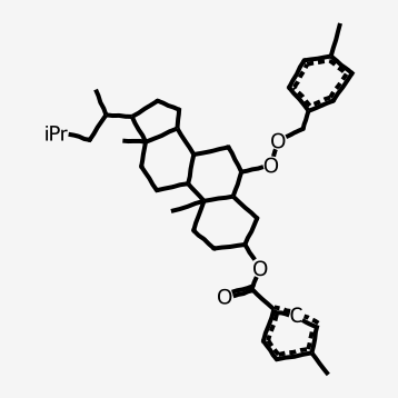 Cc1ccc(COOC2CC3C4CCC(C(C)CC(C)C)C4(C)CCC3C3(C)CCC(OC(=O)c4ccc(C)cc4)CC23)cc1